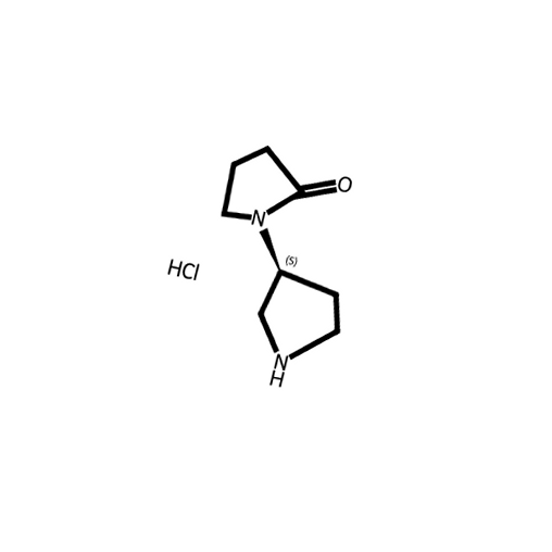 Cl.O=C1CCCN1[C@H]1CCNC1